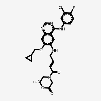 C[C@@H]1CN(C(=O)C=CCNc2cc3c(Nc4ccc(F)c(Cl)c4)ncnc3cc2OCC2CC2)CC(=O)O1